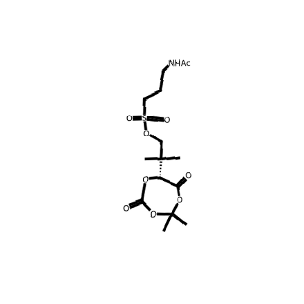 CC(=O)NCCCS(=O)(=O)OCC(C)(C)[C@H]1OC(=O)OC(C)(C)OC1=O